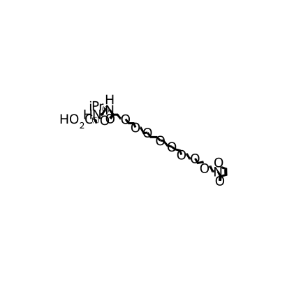 CC(C)[C@H](NC(=O)CCOCCOCCOCCOCCOCCOCCOCCOCCN1C(=O)C=CC1=O)C(=O)N[C@@H](C)C(=O)O